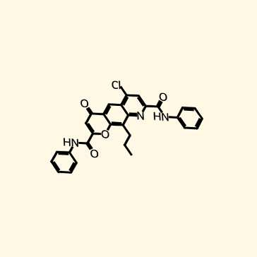 CCCc1c2nc(C(=O)Nc3ccccc3)cc(Cl)c2cc2c(=O)cc(C(=O)Nc3ccccc3)oc12